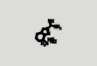 Cl.Cl.N=C(N)n1cc2cccc(N)c2n1